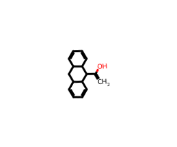 C=C(O)C1C2C=CC=CC2CC2C=CC=CC21